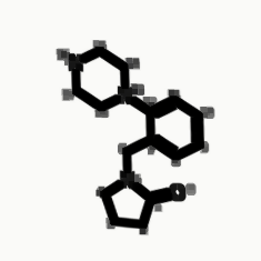 O=C1CCCN1Cc1ccccc1N1CC[N]CC1